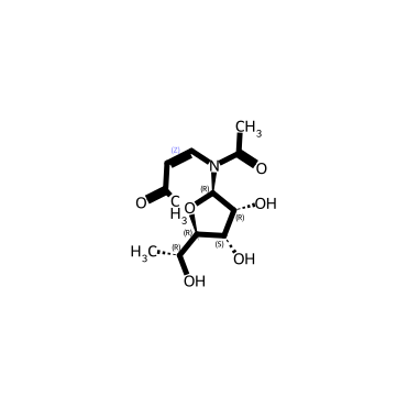 CC(=O)/C=C\N(C(C)=O)[C@@H]1O[C@H]([C@@H](C)O)[C@@H](O)[C@H]1O